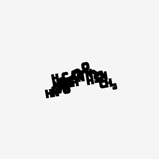 Cc1ncc(CNC(=O)c2ccc(C(C)NS(=O)(=O)c3c[nH]cn3)cn2)s1